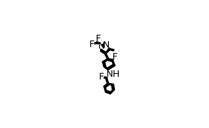 Cc1nn(C(F)F)cc1-c1ccc(NC(F)c2ccccc2)cc1F